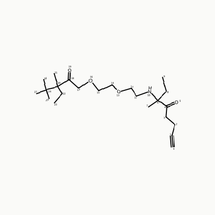 C#CCCC(=O)C(C)(CC)NCCOCCOCC(=O)C(C)(CC)C(C)(C)C